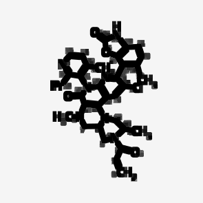 C=CC(=O)N1CC2CN(C)c3c(c4cc(Cl)c(-c5c(C)ccc6[nH]c(=O)oc56)nc4n(-c4c(C)ccnc4C(C)C)c3=O)N2CC1C